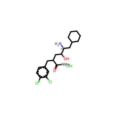 CNC(=O)C(Cc1ccc(Cl)c(Cl)c1)CC(O)[C@@H](N)CC1CCCCC1.Cl